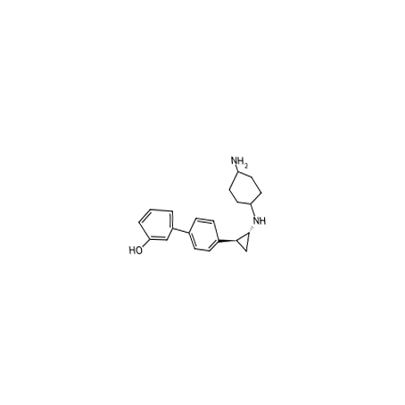 NC1CCC(N[C@@H]2C[C@H]2c2ccc(-c3cccc(O)c3)cc2)CC1